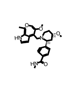 CNC(=O)c1c#cc([C@@H]2C[C@@H](OC)CCN2CC2=c3cc[nH]c3=C(C)OC=C2OC)cc1